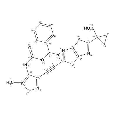 Cc1onc(C#Cc2nc3sc(C4(C(=O)O)CC4)nc3s2)c1NC(=O)OC(C)c1ccccc1